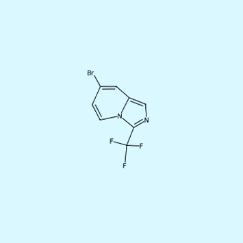 FC(F)(F)c1ncc2cc(Br)ccn12